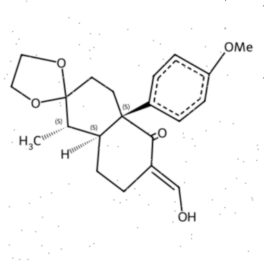 COc1ccc([C@]23CCC4(OCCO4)[C@@H](C)[C@@H]2CCC(=CO)C3=O)cc1